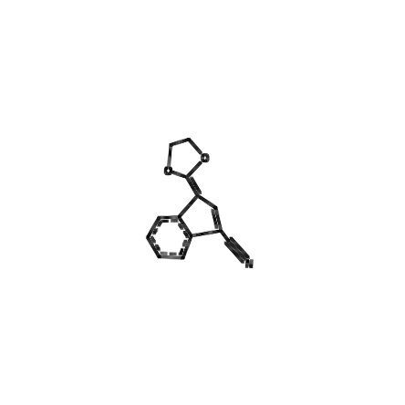 N#CC1=CC(=C2OCCO2)c2ccccc21